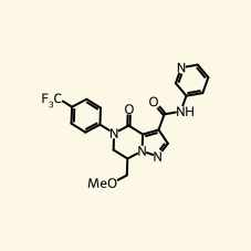 COCC1CN(c2ccc(C(F)(F)F)cc2)C(=O)c2c(C(=O)Nc3cccnc3)cnn21